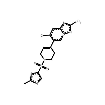 Bc1nc2cc(Cl)c(C3=CCN(S(=O)(=O)c4cnc(C)s4)CC3)cn2n1